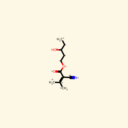 [CH2]CC(O)CCOC(=O)C(C#N)=C(C)C